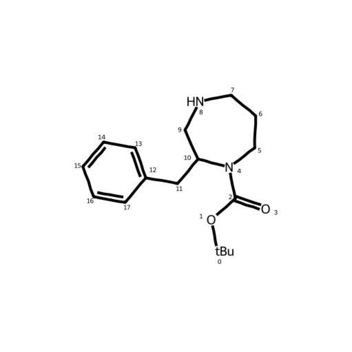 CC(C)(C)OC(=O)N1CCCNCC1Cc1ccccc1